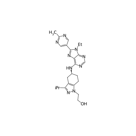 CCn1c(-c2cnc(C)nc2)nc2c(N[C@H]3CCc4c(c(C(C)C)nn4CCO)C3)ncnc21